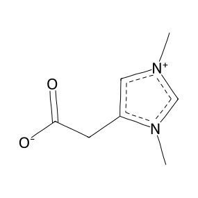 Cn1c[n+](C)cc1CC(=O)[O-]